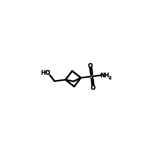 NS(=O)(=O)C12CC(CO)(C1)C2